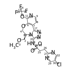 COC[C@H]1COc2c(ccnc2OC(F)(F)F)-c2nnc(NS(=O)(=O)CCc3ncc(Cl)cn3)n21